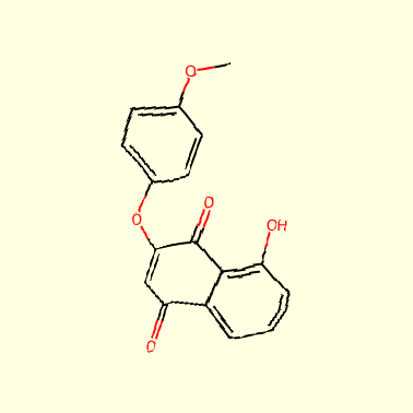 COc1ccc(OC2=CC(=O)c3cccc(O)c3C2=O)cc1